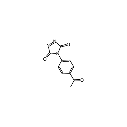 CC(=O)c1ccc(N2C(=O)N=NC2=O)cc1